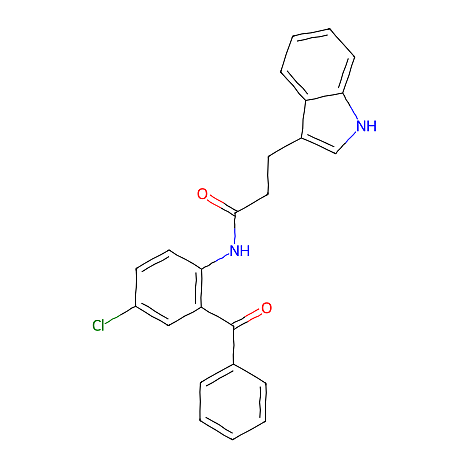 O=C(CCc1c[nH]c2ccccc12)Nc1ccc(Cl)cc1C(=O)c1ccccc1